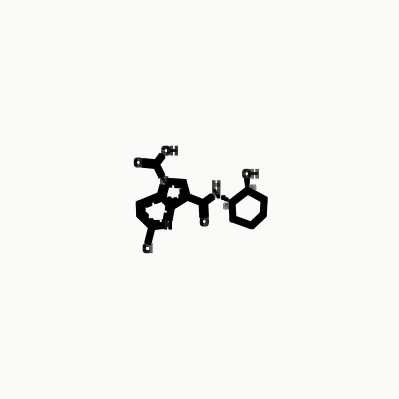 O=C(N[C@H]1CCCC[C@@H]1O)c1cn(C(=O)O)c2ccc(Cl)nc12